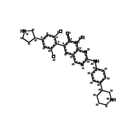 CCn1c(=O)c(-c2c(Cl)cc(C3CCNC3)cc2Cl)cc2cnc(Nc3ccc(C4CCCNC4)cc3)nc21